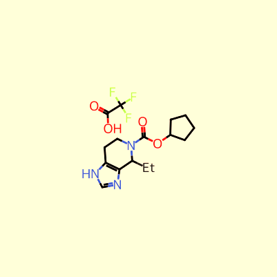 CCC1c2nc[nH]c2CCN1C(=O)OC1CCCC1.O=C(O)C(F)(F)F